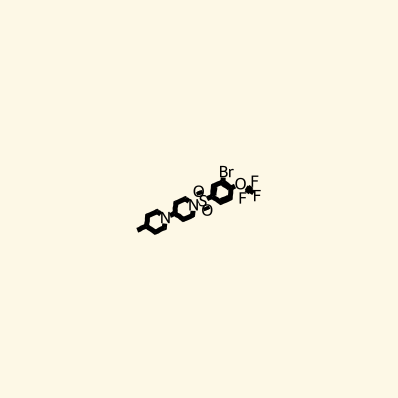 CC1CCN(C2CCN(S(=O)(=O)c3ccc(OC(F)(F)F)c(Br)c3)CC2)CC1